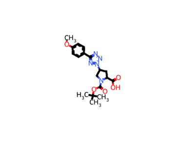 COc1ccc(-c2nnn(C3CC(C(=O)O)N(C(=O)OC(C)(C)C)C3)n2)cc1